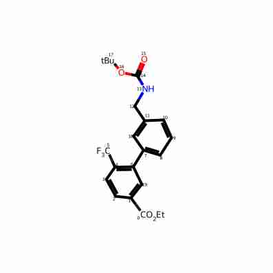 CCOC(=O)c1ccc(C(F)(F)F)c(-c2cccc(CNC(=O)OC(C)(C)C)c2)c1